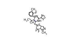 C=C(CC)/C(Cc1cccc(C)c1F)=C(\CN1CC(F)(F)C2C(C=NN2C)S1)NC(=N)C1=NCCS1